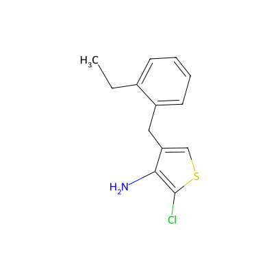 CCc1ccccc1Cc1csc(Cl)c1N